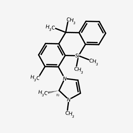 Cc1ccc2c(c1N1C=CN(C)[C@@H]1C)[Si](C)(C)c1ccccc1C2(C)C